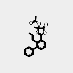 CC=Cc1c(C2=NC(C)(OC(C)=O)C(=O)O2)cccc1-c1ccccc1